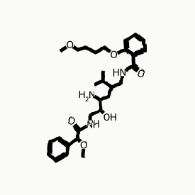 COCCCCOc1ccccc1C(=O)NCC(CC(N)C(O)CNC(=O)C(OC)c1ccccc1)C(C)C